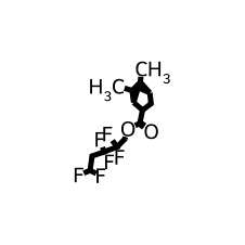 CC1C2CC(C(=O)OCC(F)(F)C(F)(F)CC(F)F)C(C2)C1C